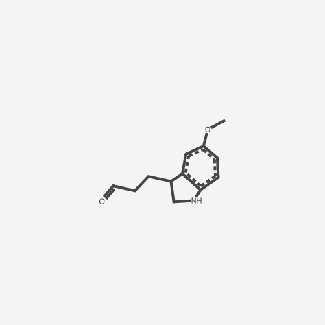 COc1ccc2c(c1)C(CCC=O)CN2